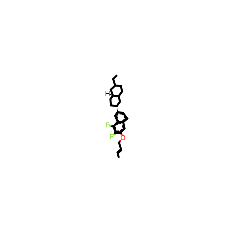 C/C=C/COc1cc2ccc([C@@H]3CC[C@@H]4CC(CC)CCC4C3)cc2c(F)c1F